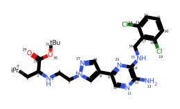 CC(C)CC(NCCn1cc(-c2cnc(N)c(NCc3c(Cl)cccc3Cl)n2)cn1)C(=O)OC(C)(C)C